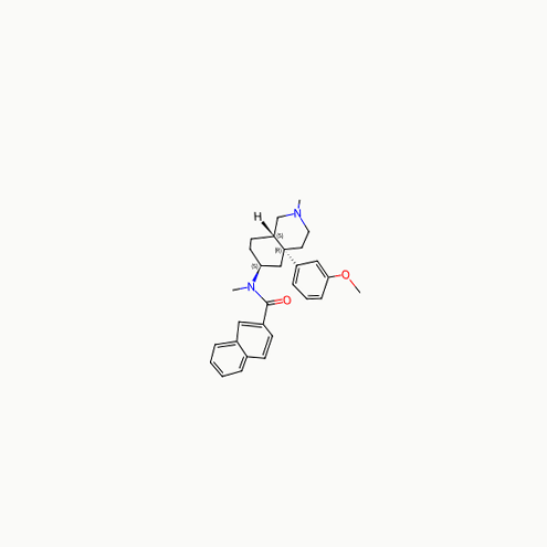 COc1cccc([C@@]23CCN(C)C[C@H]2CC[C@H](N(C)C(=O)c2ccc4ccccc4c2)C3)c1